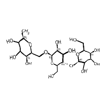 C[C@H]1OC(CO[C@@H]2OC(CO)[C@@H](O[C@H]3OC(CO)[C@@H](O)C(O)C3O)C(O)[C@@H]2O)[C@@H](O)C(O)C1O